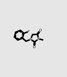 CN1C(=O)CN(Cc2ccccc2F)C1=O